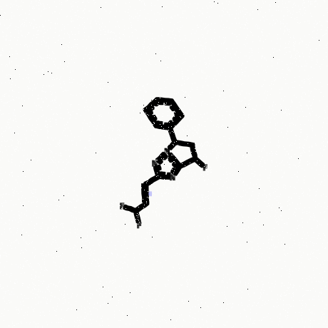 FC(F)/C=C/c1nc2n(n1)C(c1ccccc1)CC2F